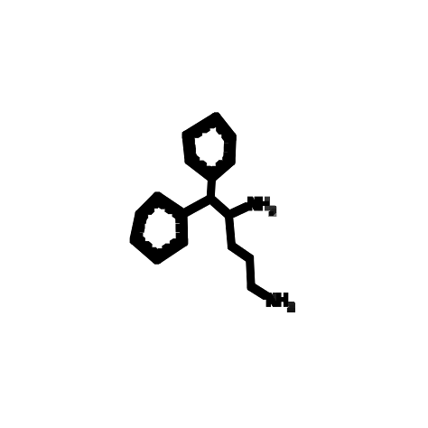 NCCCC(N)C(c1ccccc1)c1ccccc1